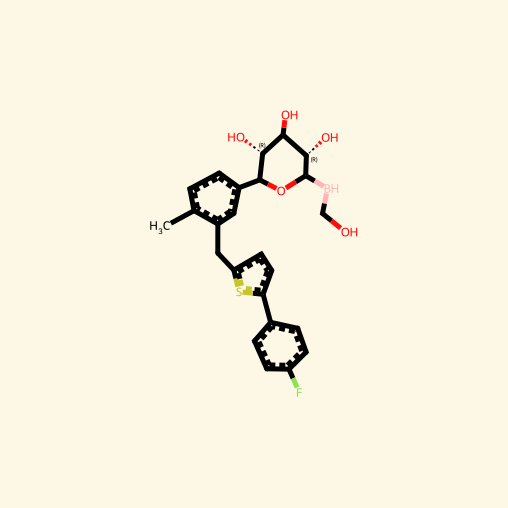 Cc1ccc(C2OC(BCO)[C@@H](O)C(O)[C@H]2O)cc1Cc1ccc(-c2ccc(F)cc2)s1